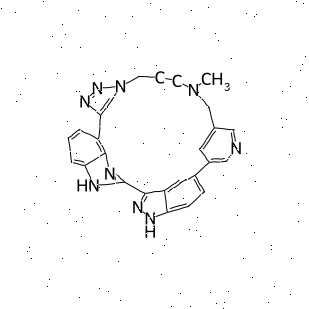 CN1CCCn2cc(nn2)-c2cccc3[nH]c(nc23)-c2n[nH]c3ccc(cc23)-c2cncc(c2)C1